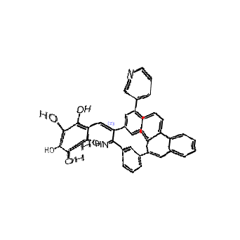 N=C(/C(=C\c1c(O)c(O)c(O)c(O)c1O)c1cccc(-c2cccnc2)c1)c1cccc(-c2cc3ccccc3c3ccccc23)c1